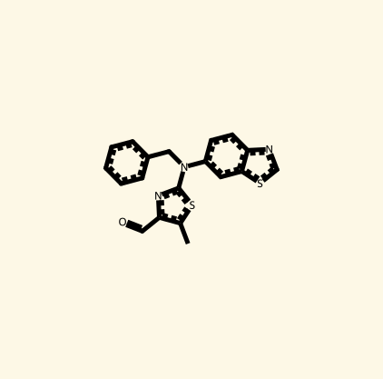 Cc1sc(N(Cc2ccccc2)c2ccc3ncsc3c2)nc1C=O